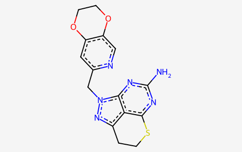 Nc1nc2c3c(nn(Cc4cc5c(cn4)OCCO5)c3n1)CCS2